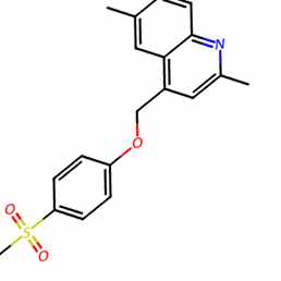 Cc1ccc2nc(C)cc(COc3ccc(S(C)(=O)=O)cc3)c2c1